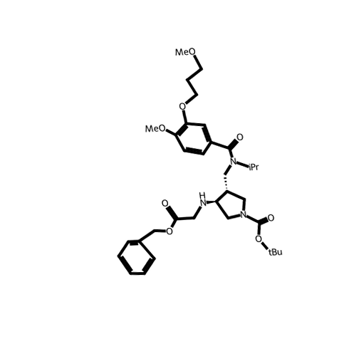 COCCCOc1cc(C(=O)N(C[C@@H]2CN(C(=O)OC(C)(C)C)C[C@H]2NCC(=O)OCc2ccccc2)C(C)C)ccc1OC